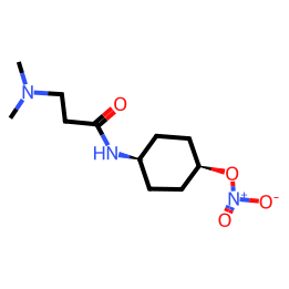 CN(C)CCC(=O)N[C@H]1CC[C@@H](O[N+](=O)[O-])CC1